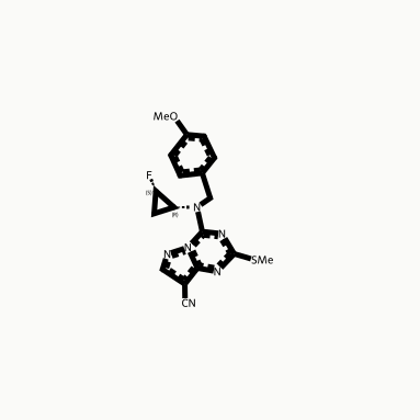 COc1ccc(CN(c2nc(SC)nc3c(C#N)cnn23)[C@@H]2C[C@@H]2F)cc1